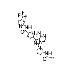 Nc1nccn2c(N3CCCC(NC(=O)C4CC4)C3)nc(-c3ccc(C(=O)Nc4cc(C(F)(F)F)ccn4)cc3)c12